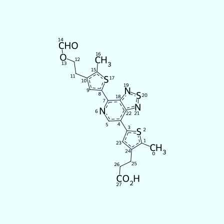 Cc1sc(-c2cnc(-c3cc(CCOC=O)c(C)s3)c3nsnc23)cc1CCC(=O)O